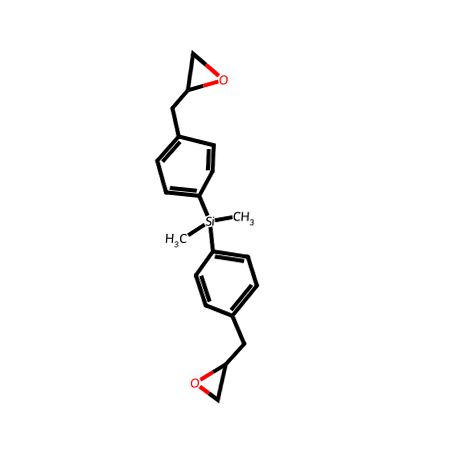 C[Si](C)(c1ccc(CC2CO2)cc1)c1ccc(CC2CO2)cc1